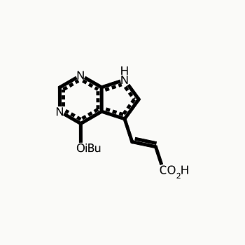 CC(C)COc1ncnc2[nH]cc(/C=C/C(=O)O)c12